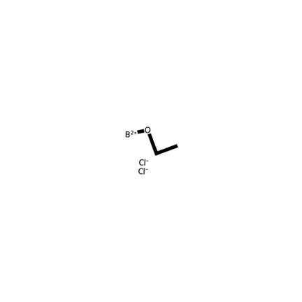 [B+2]OCC.[Cl-].[Cl-]